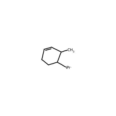 C[C](C)C1CCC=CC1C